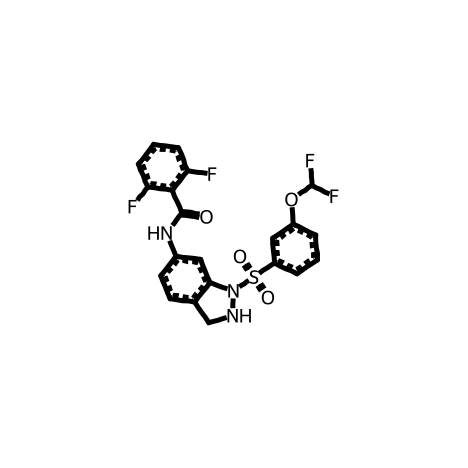 O=C(Nc1ccc2c(c1)N(S(=O)(=O)c1cccc(OC(F)F)c1)NC2)c1c(F)cccc1F